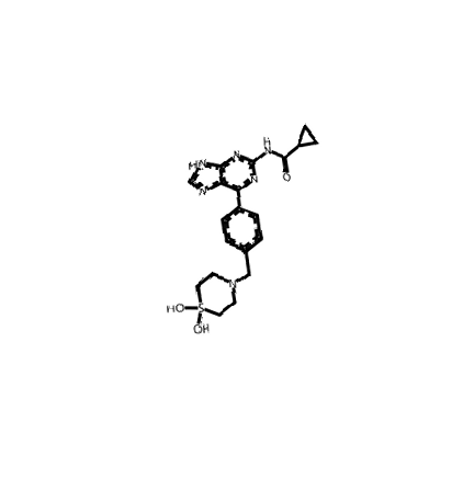 O=C(Nc1nc(-c2ccc(CN3CCS(O)(O)CC3)cc2)c2nc[nH]c2n1)C1CC1